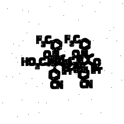 CC1=C(C(=O)C(C)C)[C@@H](c2ccc(C#N)cc2)N(C(C(=O)O)C(C)(C)C)C(=O)N1c1cccc(C(F)(F)F)c1.CC1=C(C(=O)C(C)C)[C@@H](c2ccc(C#N)cc2)N(CC(=O)O)C(=O)N1c1cccc(C(F)(F)F)c1